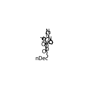 CCCCCCCCCCCCCC(=O)OCOC(=O)N1c2ccccc2N=C(N2CCN(C)CC2)c2cc(C)sc21